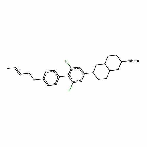 C/C=C/CCc1ccc(-c2c(F)cc(C3CCC4CC(CCCCCCC)CCC4C3)cc2F)cc1